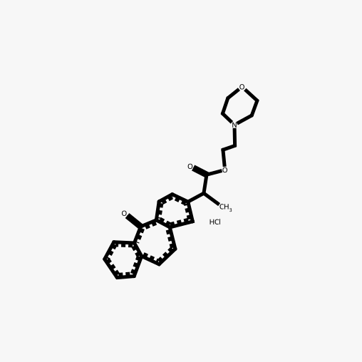 CC(C(=O)OCCN1CCOCC1)c1ccc2c(=O)c3ccccc3ccc2c1.Cl